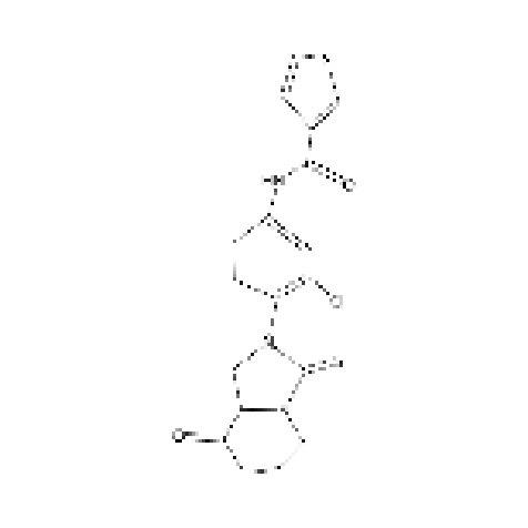 O=C(Nc1ccc(N2CC3C(=O)CCCN3C2=S)c(Cl)c1)c1ccsc1